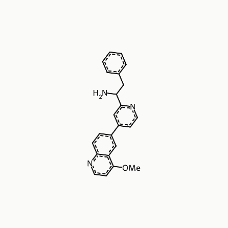 COc1ccnc2ccc(-c3ccnc(C(N)Cc4ccccc4)c3)cc12